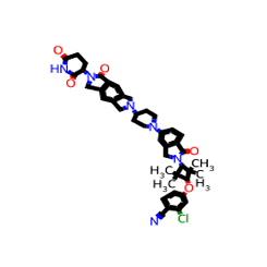 CC1(C)C(Oc2ccc(C#N)c(Cl)c2)C(C)(C)C1N1Cc2cc(N3CCC(N4Cc5cc6c(cc5C4)C(=O)N(C4CCC(=O)NC4=O)C6)CC3)ccc2C1=O